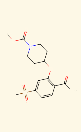 COC(=O)c1ccc(S(C)(=O)=O)cc1OC1CCN(C(=O)OC(C)(C)C)CC1